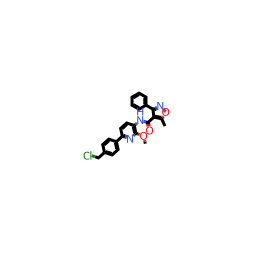 COc1nc(-c2ccc(CCl)cc2)ccc1NC(=O)c1c(-c2ccccc2)noc1C